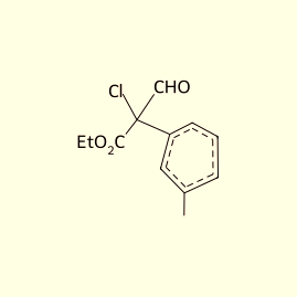 CCOC(=O)C(Cl)(C=O)c1cccc(C)c1